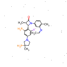 C/C=N\c1cc(N2C(=O)[C@H](C)[C@@H]2c2c(P)cc(N3CCC(C)(P)C3)cc2I)ccc1C